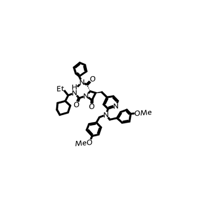 CCC(NC(=O)N1C(=O)[C@H](Cc2ccnc(N(Cc3ccc(OC)cc3)Cc3ccc(OC)cc3)c2)[C@H]1C(=O)N(C)c1ccccc1)C1CCCCC1